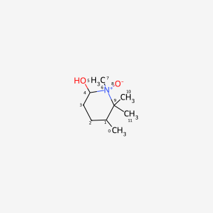 CC1CCC(O)[N+](C)([O-])C1(C)C